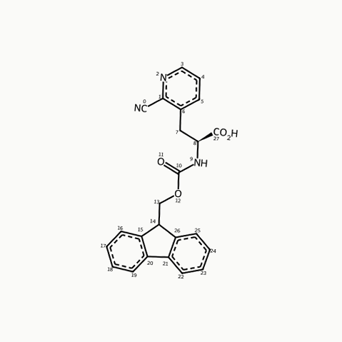 N#Cc1ncccc1C[C@H](NC(=O)OCC1c2ccccc2-c2ccccc21)C(=O)O